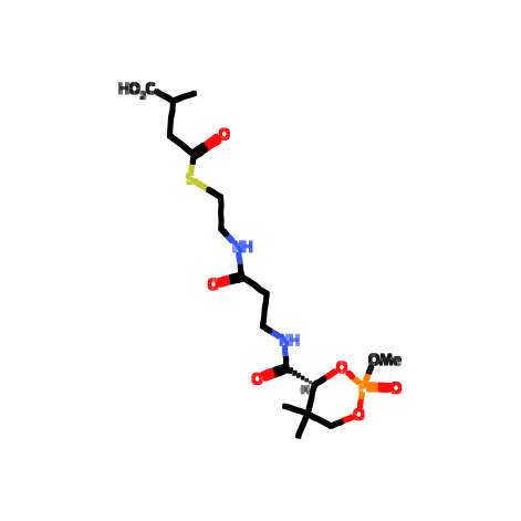 COP1(=O)OCC(C)(C)[C@H](C(=O)NCCC(=O)NCCSC(=O)CC(C)C(=O)O)O1